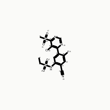 CCS(=O)(=O)Nc1cc(-c2ncnc(S(C)(=O)=O)c2Cl)c(F)cc1C#N